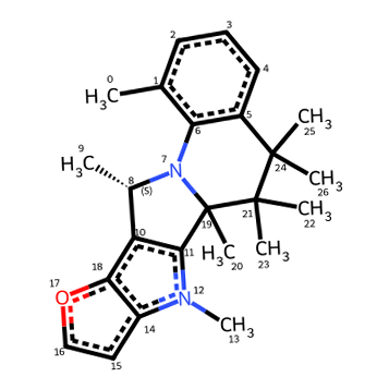 Cc1cccc2c1N1[C@@H](C)c3c(n(C)c4ccoc34)C1(C)C(C)(C)C2(C)C